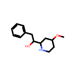 COC1CCNC(C(O)Cc2ccccc2)C1